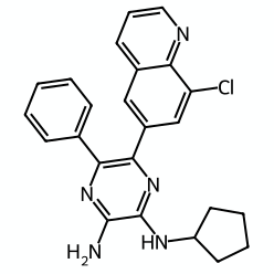 Nc1nc(-c2ccccc2)c(-c2cc(Cl)c3ncccc3c2)nc1NC1CCCC1